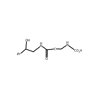 CC(C)C(O)CNC(=O)CCNC(=O)O